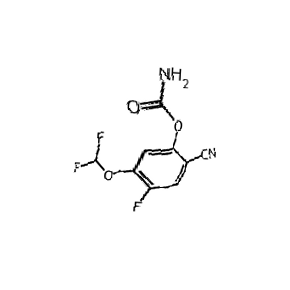 N#Cc1cc(F)c(OC(F)F)cc1OC(N)=O